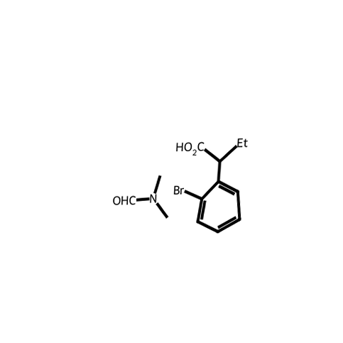 CCC(C(=O)O)c1ccccc1Br.CN(C)C=O